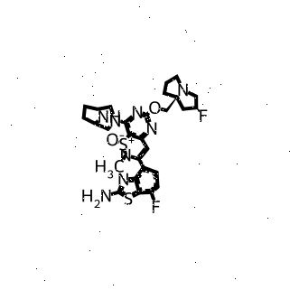 CN1C(c2ccc(F)c3sc(N)nc23)=Cc2nc(OC[C@@]34CCCN3C[C@H](F)C4)nc(N3CC4CCC(C3)N4)c2[S+]1[O-]